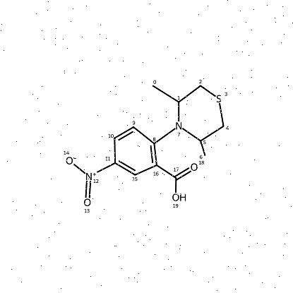 CC1CSCC(C)N1c1ccc([N+](=O)[O-])cc1C(=O)O